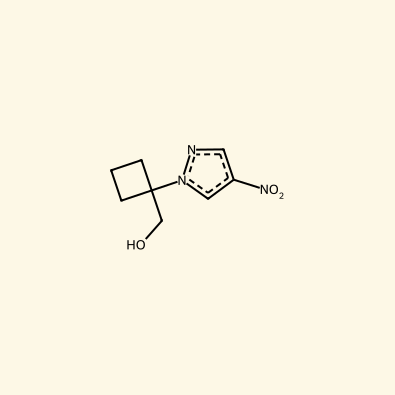 O=[N+]([O-])c1cnn(C2(CO)CCC2)c1